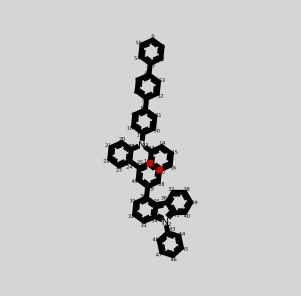 c1ccc(-c2ccc(-c3ccc(N(c4ccccc4)c4ccccc4-c4cccc(-c5cccc6c5c5ccccc5n6-c5ccccc5)c4)cc3)cc2)cc1